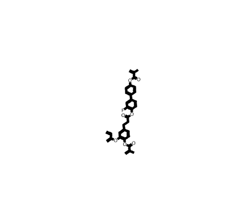 C=CC(=C)Oc1cc(CCC(=O)Oc2ccc(-c3ccc(OC(=O)C(=C)C)cc3)cc2F)ccc1OC(=O)C(=C)C